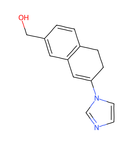 OCc1ccc2c(c1)C=C(n1ccnc1)CC2